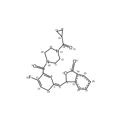 O=C1OC(C=C2C=C(C(=O)N3CCN(C(=O)C4CC4)CC3)C(F)=CC2)c2ccccc21